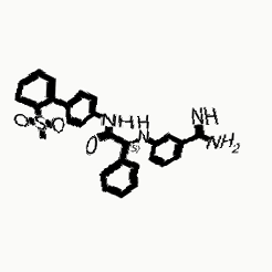 CS(=O)(=O)c1ccccc1-c1ccc(NC(=O)[C@@H](Nc2cccc(C(=N)N)c2)c2ccccc2)cc1